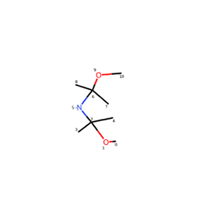 COC(C)(C)[N]C(C)(C)OC